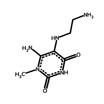 Cn1c(N)c(NCCN)c(=O)[nH]c1=O